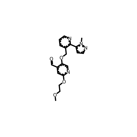 COCCOc1cc(C=O)c(OCc2cccnc2-c2ccnn2C)cn1